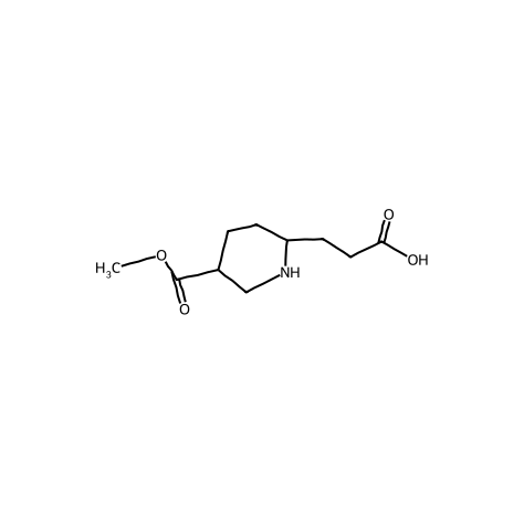 COC(=O)C1CCC(CCC(=O)O)NC1